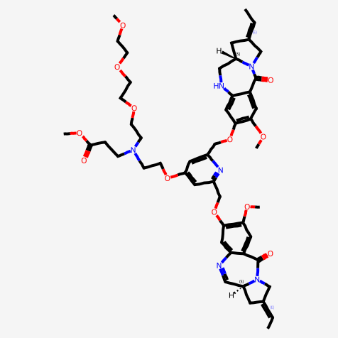 C/C=C1\C[C@H]2CNc3cc(OCc4cc(OCCN(CCOCCOCCOC)CCC(=O)OC)cc(COc5cc6c(cc5OC)C(=O)N5C/C(=C/C)C[C@H]5C=N6)n4)c(OC)cc3C(=O)N2C1